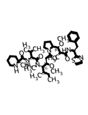 CC[C@H](C)[C@@H]([C@@H](CC(=O)N1CCCC1[C@H](OC)C(C)C(=O)N[C@@H](Cc1ccccc1)c1nccs1)OC)N(C)C(=O)[C@@H](NC(=O)[C@@]1(C)CCCCN1)C(C)C